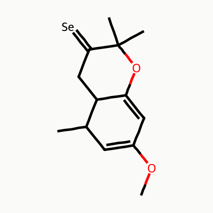 COC1=CC(C)C2CC(=[Se])C(C)(C)OC2=C1